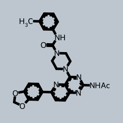 CC(=O)Nc1nc(N2CCN(C(=O)Nc3cccc(C)c3)CC2)c2nc(-c3ccc4c(c3)OCO4)ccc2n1